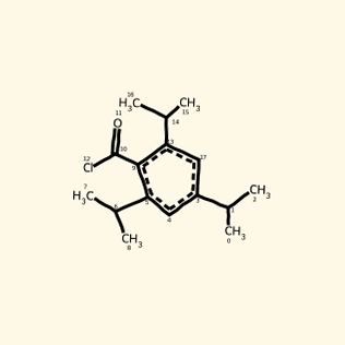 CC(C)c1cc(C(C)C)c(C(=O)Cl)c(C(C)C)c1